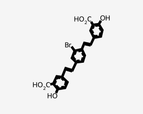 O=C(O)c1cc(C=Cc2ccc(C=Cc3ccc(O)c(C(=O)O)c3)c(Br)c2)ccc1O